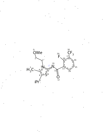 COCCn1c(C)c(C(C)C)s/c1=N\C(=O)c1cccc(C(F)(F)F)c1F